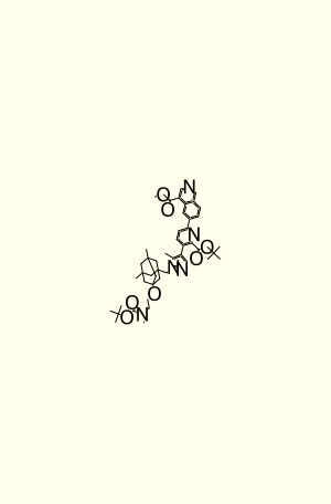 COC(=O)c1cncc2ccc(-c3ccc(-c4cnn(CC56CC7(C)CC(C)(C5)CC(OCCN(C)C(=O)OC(C)(C)C)(C7)C6)c4C)c(C(=O)OC(C)(C)C)n3)cc12